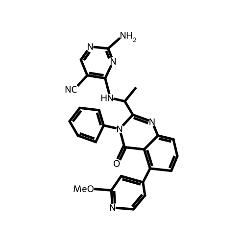 COc1cc(-c2cccc3nc(C(C)Nc4nc(N)ncc4C#N)n(-c4ccccc4)c(=O)c23)ccn1